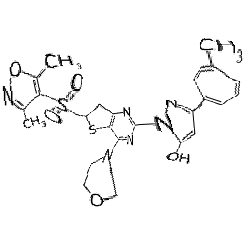 Cc1cccc(-c2cc(O)n(-c3nc4c(c(N5CCOCC5)n3)SC(S(=O)(=O)c3c(C)noc3C)C4)n2)c1